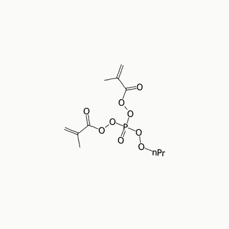 C=C(C)C(=O)OOP(=O)(OOCCC)OOC(=O)C(=C)C